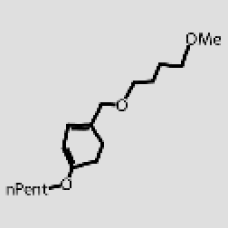 CCCCCOC1=CC=C(COCCCCOC)CC1